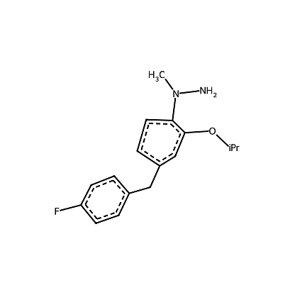 CC(C)Oc1cc(Cc2ccc(F)cc2)ccc1N(C)N